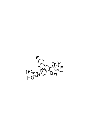 CC[C@@H](NC(=O)c1cn(-c2ccc(F)cc2F)c2nc(N3C[C@@H](O)[C@H](O)C3)ccc2c1=O)C(F)(F)F